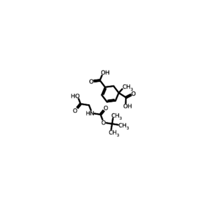 CC(C)(C)OC(=O)NCC(=O)O.CC1(C(=O)O)C=CC=C(C(=O)O)C1